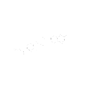 CNC(=O)c1ccc2c(n1)OC[C@H]1CN(Cc3ccc4nc(C)c(=O)[nH]c4c3F)CCN21